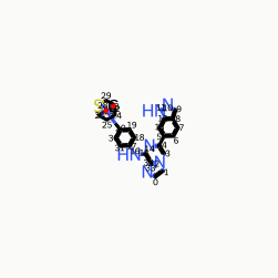 c1cn2cc(-c3ccc4cn[nH]c4c3)nc(Nc3ccc(N4CC5CCC(C4)SC5)cc3)c2n1